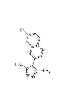 Cc1noc(C)c1-c1cnc2ccc(Br)cc2n1